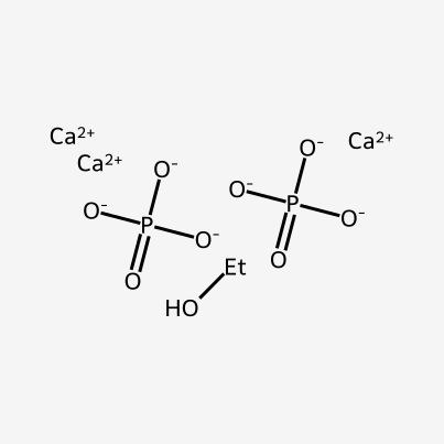 CCO.O=P([O-])([O-])[O-].O=P([O-])([O-])[O-].[Ca+2].[Ca+2].[Ca+2]